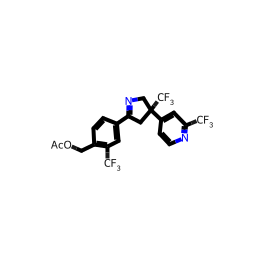 CC(=O)OCc1ccc(C2=NCC(c3ccnc(C(F)(F)F)c3)(C(F)(F)F)C2)cc1C(F)(F)F